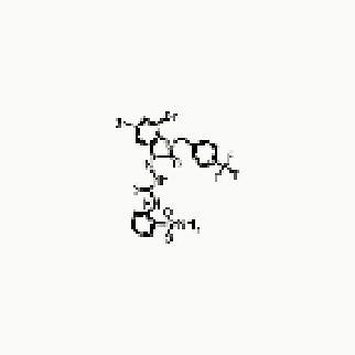 NS(=O)(=O)c1ccccc1NC(=S)NN=C1C(=O)N(Cc2ccc(C(F)(F)F)cc2)c2c(Br)cc(Br)cc21